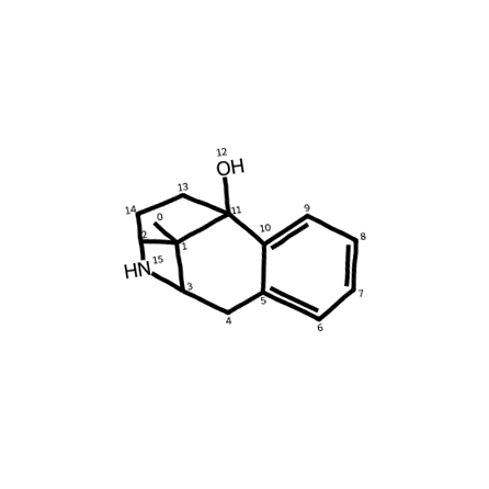 CC1(C)C2Cc3ccccc3C1(O)CCN2